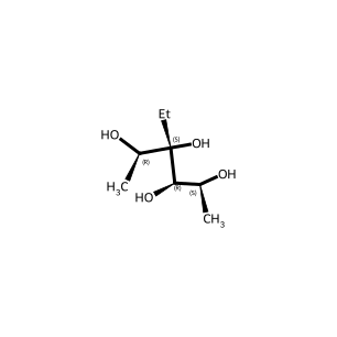 CC[C@@](O)([C@H](O)[C@H](C)O)[C@@H](C)O